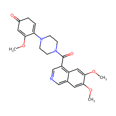 COC1=CC(=O)CC=C1N1CCN(C(=O)c2cncc3cc(OC)c(OC)cc23)CC1